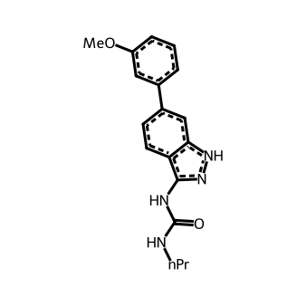 CCCNC(=O)Nc1n[nH]c2cc(-c3cccc(OC)c3)ccc12